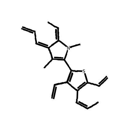 C=C/C=c1/c(C)c(-c2sc(C=C)c(/C=C\C)c2C=C)n(C)/c1=C/C